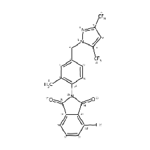 Cc1cc(Cn2nc(C(F)(F)F)cc2C(F)(F)F)ccc1N1C(=O)c2cccc(I)c2C1=O